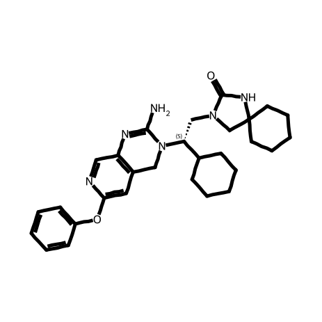 NC1=Nc2cnc(Oc3ccccc3)cc2CN1[C@H](CN1CC2(CCCCC2)NC1=O)C1CCCCC1